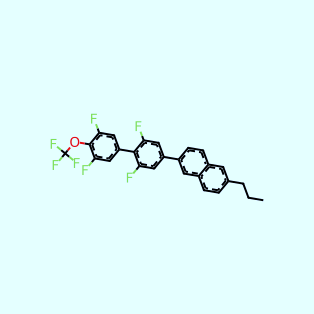 CCCc1ccc2cc(-c3cc(F)c(-c4cc(F)c(OC(F)(F)F)c(F)c4)c(F)c3)ccc2c1